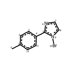 Cc1ccc(-c2nccn2Br)cc1